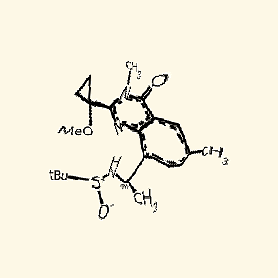 COC1(c2nc3c([C@@H](C)N[S+]([O-])C(C)(C)C)cc(C)cc3c(=O)n2C)CC1